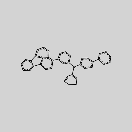 C1=CC(N(c2ccc(-c3cccnc3)cc2)c2cccc(-c3ccc4c5c(cccc35)-c3ccccc3-4)c2)=CCC1